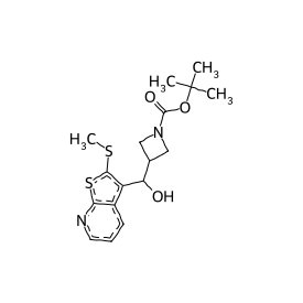 CSc1sc2ncccc2c1C(O)C1CN(C(=O)OC(C)(C)C)C1